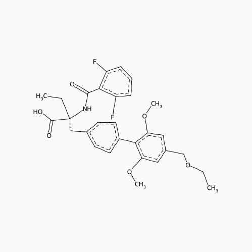 CCOCc1cc(OC)c(-c2ccc(C[C@](CC)(NC(=O)c3c(F)cccc3F)C(=O)O)cc2)c(OC)c1